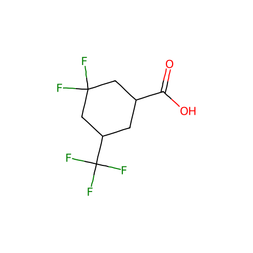 O=C(O)C1CC(C(F)(F)F)CC(F)(F)C1